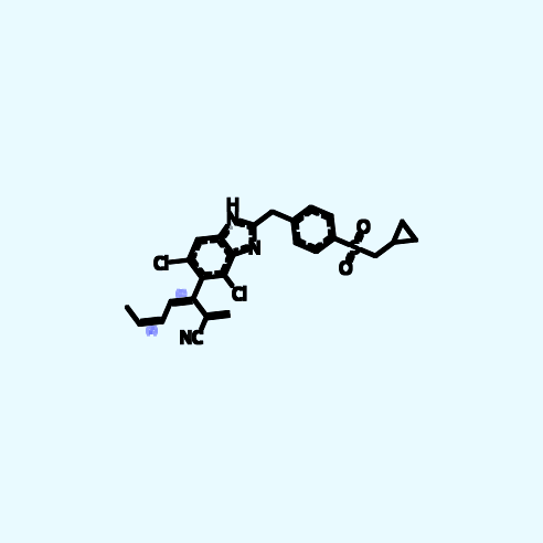 C=C(C#N)/C(=C\C=C/C)c1c(Cl)cc2[nH]c(Cc3ccc(S(=O)(=O)CC4CC4)cc3)nc2c1Cl